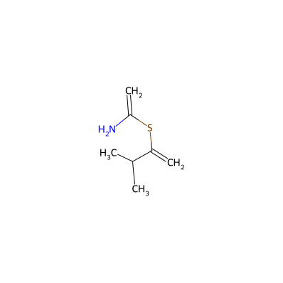 C=C(N)SC(=C)C(C)C